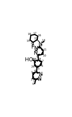 Cc1ccc(-c2ccc(-c3ccc(N(C)[C@@H]4CCCC[C@@H]4F)nn3)c(O)c2)nn1